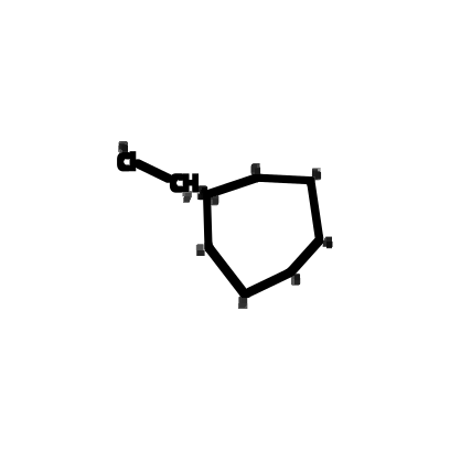 C1CCCCCC1.CCl